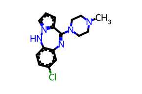 CN1CCN(C2=Nc3cc(Cl)ccc3Nn3cccc32)CC1